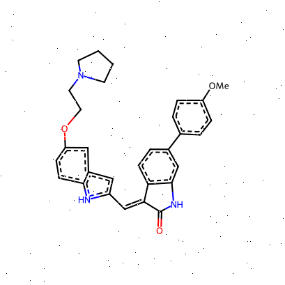 COc1ccc(-c2ccc3c(c2)NC(=O)/C3=C/c2cc3cc(OCCN4CCCC4)ccc3[nH]2)cc1